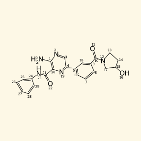 Nc1ncc(-c2cccc(C(=O)N3CCC(O)C3)c2)nc1C(=O)Nc1ccccc1